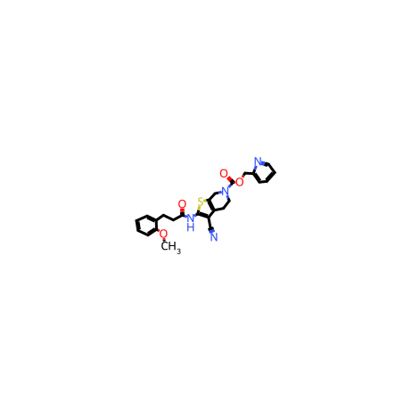 COc1ccccc1CCC(=O)Nc1sc2c(c1C#N)CCN(C(=O)OCc1ccccn1)C2